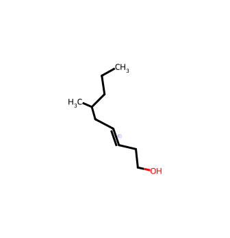 CCCC(C)C/C=C/CCO